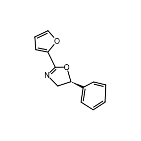 c1ccc([C@H]2CN=C(c3ccco3)O2)cc1